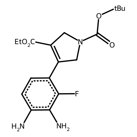 CCOC(=O)C1=C(c2ccc(N)c(N)c2F)CN(C(=O)OC(C)(C)C)C1